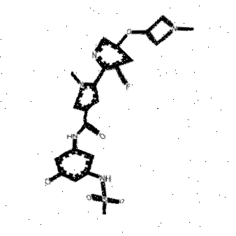 CN1CC(Oc2cnc(-c3cc(C(=O)Nc4cc(Cl)cc(NS(C)(=O)=O)c4)cn3C)c(F)c2)C1